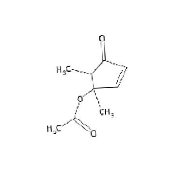 CC(=O)OC1(C)C=CC(=O)C1C